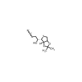 CC1(C)OC2CS[C@@H](C(O)CN=[N+]=[N-])[C@H]2O1